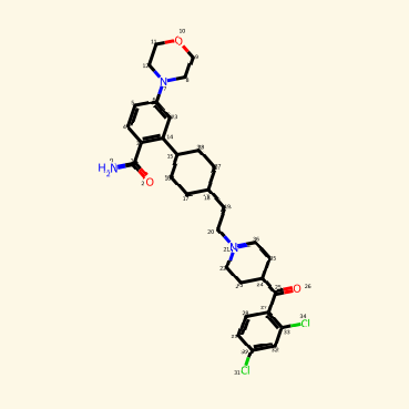 NC(=O)c1ccc(N2CCOCC2)cc1C1CCC(CCN2CCC(C(=O)c3ccc(Cl)cc3Cl)CC2)CC1